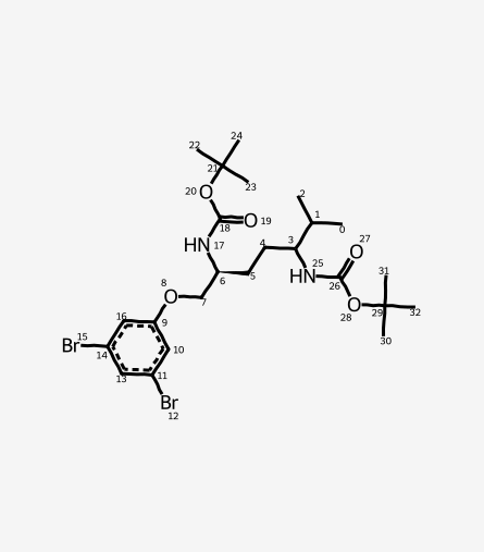 CC(C)C(CC[C@@H](COc1cc(Br)cc(Br)c1)NC(=O)OC(C)(C)C)NC(=O)OC(C)(C)C